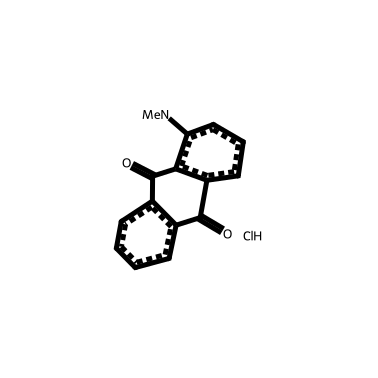 CNc1cccc2c1C(=O)c1ccccc1C2=O.Cl